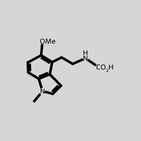 COc1ccc2c(ccn2C)c1CCNC(=O)O